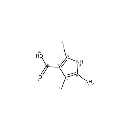 Cc1c(N)[nH]c(I)c1C(=O)O